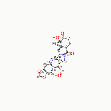 CC[C@@]1(O)C(=O)CCc2c1cc1n(c2=O)Cc2c-1nc1cc3c(cc1c2CO)OCO3